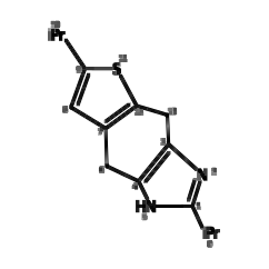 CC(C)c1nc2c([nH]1)Cc1cc(C(C)C)sc1C2